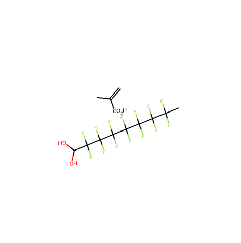 C=C(C)C(=O)O.CC(F)(F)C(F)(F)C(F)(F)C(F)(F)C(F)(F)C(F)(F)C(F)(F)C(O)O